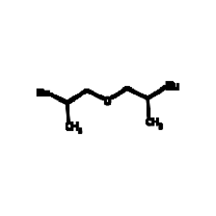 CCC(C)C(C)COCC(C)C(C)CC